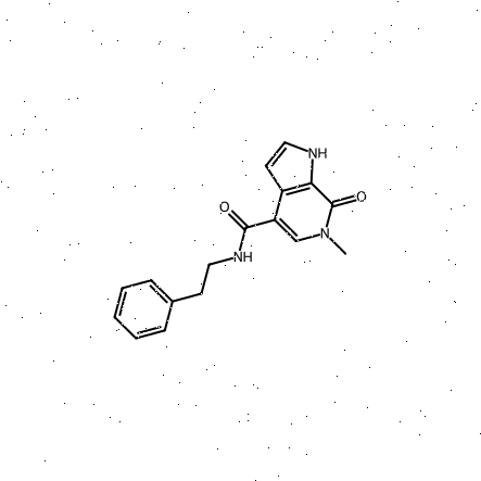 Cn1cc(C(=O)NCCc2ccccc2)c2cc[nH]c2c1=O